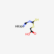 N#C/N=C(/S)SCC(=O)O.[KH].[KH]